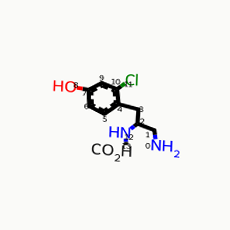 NCC(Cc1ccc(O)cc1Cl)NC(=O)O